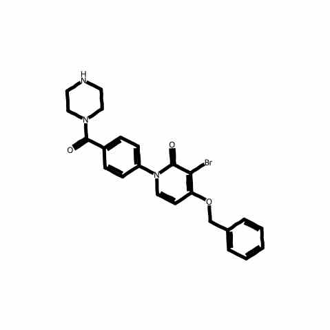 O=C(c1ccc(-n2ccc(OCc3ccccc3)c(Br)c2=O)cc1)N1CCNCC1